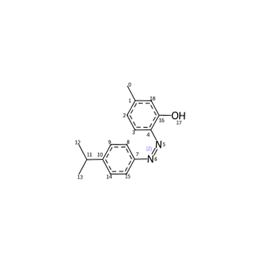 Cc1ccc(/N=N\c2ccc(C(C)C)cc2)c(O)c1